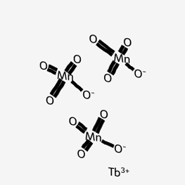 [O]=[Mn](=[O])(=[O])[O-].[O]=[Mn](=[O])(=[O])[O-].[O]=[Mn](=[O])(=[O])[O-].[Tb+3]